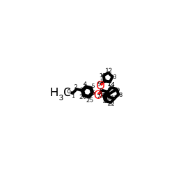 CCCc1ccc(OC(OC2CCCC2)C23CC4CC(CC(C4)C2)C3)cc1